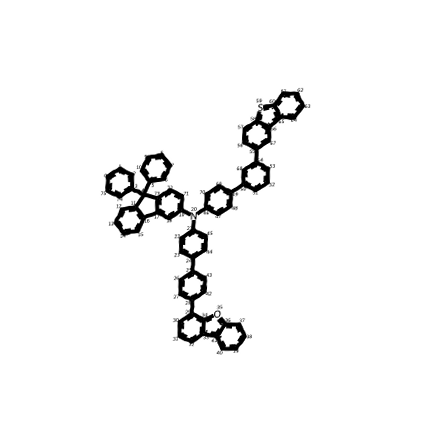 c1ccc(C2(c3ccccc3)c3ccccc3-c3cc(N(c4ccc(-c5ccc(-c6cccc7c6oc6ccccc67)cc5)cc4)c4ccc(-c5cccc(-c6ccc7sc8ccccc8c7c6)c5)cc4)ccc32)cc1